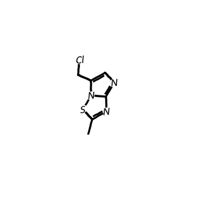 Cc1nc2ncc(CCl)n2s1